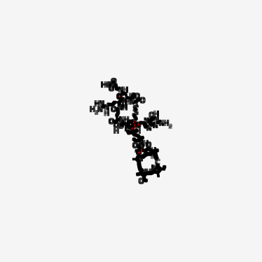 CC[C@H]1c2cc3[nH]c4c(c3C)C(=O)C(C(=O)OC)c4c3nc(cc4[nH]c(cc(n2)[C@@H]1C)c(C(C)=O)c4C)[C@@H](C)[C@@H]3CCC(=O)NC(C)(CC)CCC(C)(CC)NC(=O)OCCSSC[C@H](NC(=O)[C@H](CC(=O)NCCS(=O)(=O)O)NC(=O)[C@H](CCCNC(=N)N)NC(=O)CC[C@@H](NC(=O)c1ccc(NCc2cnc3nc(N)[nH]c(=O)c3n2)cc1)C(=O)O)C(=O)O